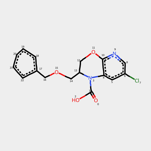 O=C(O)N1c2cc(Cl)cnc2OCC1COCc1ccccc1